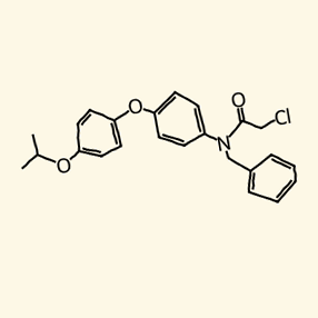 CC(C)Oc1ccc(Oc2ccc(N(Cc3ccccc3)C(=O)CCl)cc2)cc1